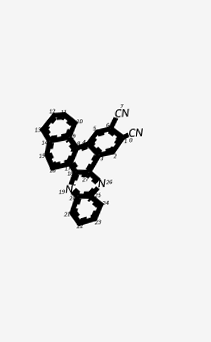 N#Cc1cc2c(cc1C#N)c1c3ccccc3ccc1c1nc3ccccc3nc21